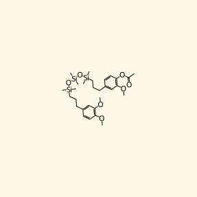 COc1ccc(CCC[Si](C)(C)O[Si](C)(C)O[Si](C)(C)CCCc2ccc(OC(C)=O)c(OC)c2)cc1OC